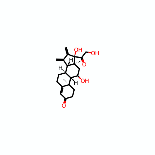 C=C1C(=C)[C@](O)(C(=O)CO)[C@@]2(C)CC(O)[C@H]3[C@@H](CCC4=CC(=O)CC[C@@]43C)[C@H]12